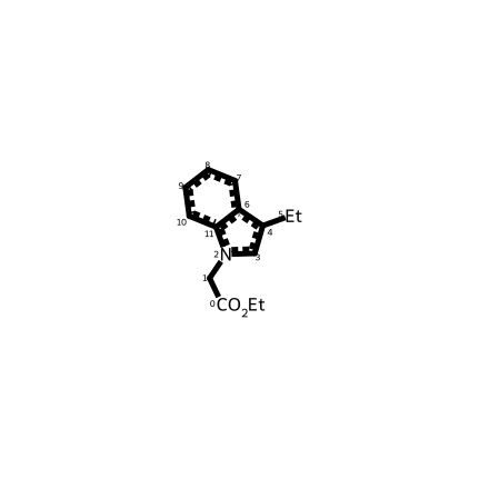 CCOC(=O)Cn1cc(CC)c2ccccc21